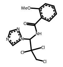 COc1ccccc1C(=O)NC(n1cncn1)C(Cl)(Cl)CCl